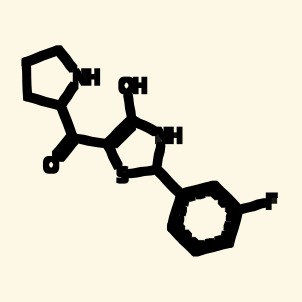 O=C(C1=C(O)NC(c2cccc(F)c2)S1)C1CCCN1